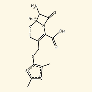 Cc1nc(C)c(SCC2=C(C(=O)O)N3C(=O)C(N)[C@@H]3SC2)s1